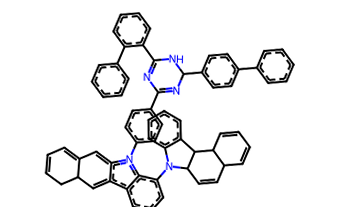 C1=CCC2C=c3c(n(-c4ccc(C5=NC(c6ccc(-c7ccccc7)cc6)NC(c6ccccc6-c6ccccc6)=N5)cc4)c4c(N5c6ccccc6C6C7C=CC=CC7C=CC65)cccc34)=CC2=C1